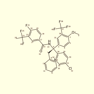 COc1ccc([C@@](Cc2ccccc2)(NC(=O)c2ccc(F)c(C(C)(F)F)c2)c2ccc(Cl)cn2)cc1C(F)(F)F